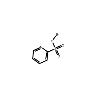 O=S(=O)(OBr)c1ccccn1